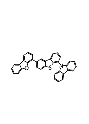 c1ccc2c(c1)oc1c(-c3ccc4sc5c(-n6c7ccccc7c7ccccc76)cccc5c4c3)cccc12